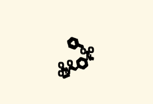 CN(C(=O)OCc1ccccc1)[C@H]1CC[C@H](CC(=O)N2CCOC2=O)CC1